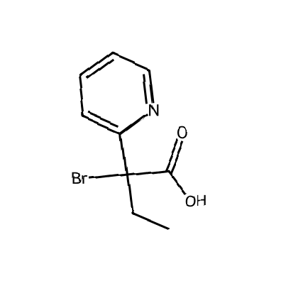 CCC(Br)(C(=O)O)c1ccccn1